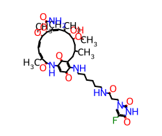 COC1C=CC=C(C)C(=O)NC2=CC(=O)C(NCCCCCCNC(=O)CCn3cc(F)c(=O)[nH]c3=O)=C(CC(C)CC(OC)C(O)C(C)C=C(C)C1OC(N)=O)C2=O